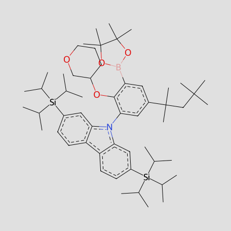 CC(C)[Si](c1ccc2c3ccc([Si](C(C)C)(C(C)C)C(C)C)cc3n(-c3cc(C(C)(C)CC(C)(C)C)cc(B4OC(C)(C)C(C)(C)O4)c3OC3CCCOC3)c2c1)(C(C)C)C(C)C